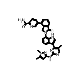 Cc1cnc(Nc2cc(C)n(C)n2)nc1-c1c[nH]c2c(N3Cc4c(cccc4-c4ccc(C(N)=O)nc4)C3=O)cccc12